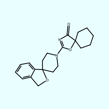 O=C1N=C(N2CCC3(CC2)OCc2ccccc23)OC12CCCCC2